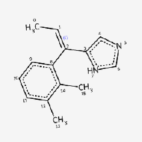 C/C=C(/c1cnc[nH]1)c1cccc(C)c1C